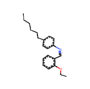 CCCCCCc1ccc(/N=C\c2ccccc2OCC)cc1